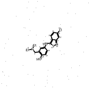 CCN(CC)Cc1cc(Nc2snc3cc(Cl)ccc23)ccc1O